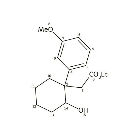 CCOC(=O)CC1(c2cccc(OC)c2)CCCCC1O